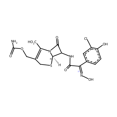 NC(=O)OCC1=C(C(=O)O)N2C(=O)C(NC(=O)/C(=N/O)c3ccc(O)c(Cl)c3)[C@H]2SC1